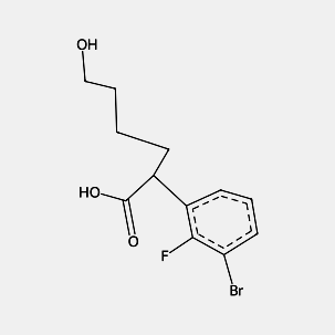 O=C(O)C(CCCCO)c1cccc(Br)c1F